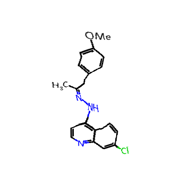 COc1ccc(CC(C)=NNc2ccnc3cc(Cl)ccc23)cc1